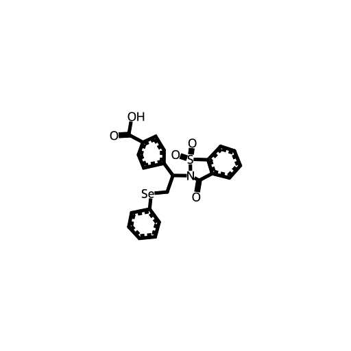 O=C(O)c1ccc(C(C[Se]c2ccccc2)N2C(=O)c3ccccc3S2(=O)=O)cc1